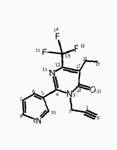 C#CCn1c(-c2cccnc2)nc(C(F)(F)F)c(CC)c1=O